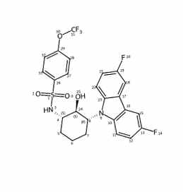 O=S(=O)(N[C@H]1CCC[C@@H](n2c3ccc(F)cc3c3cc(F)ccc32)[C@@H]1O)c1ccc(OC(F)(F)F)cc1